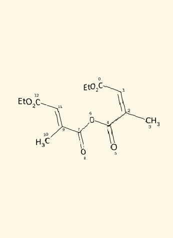 CCOC(=O)C=C(C)C(=O)OC(=O)C(C)=CC(=O)OCC